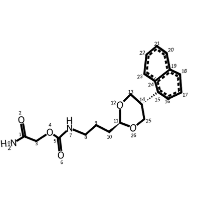 NC(=O)COC(=O)NCCC[C@H]1OC[C@H](c2cccc3ccccc32)CO1